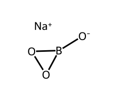 [Na+].[O-]B1OO1